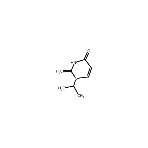 C=C1NC(=O)C=CN1C(C)C